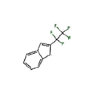 FC(F)(F)C(F)(F)C1=Cc2ccccc2[CH]1